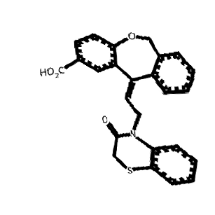 O=C(O)c1ccc2c(c1)/C(=C/CN1C(=O)CSc3ccccc31)c1ccccc1CO2